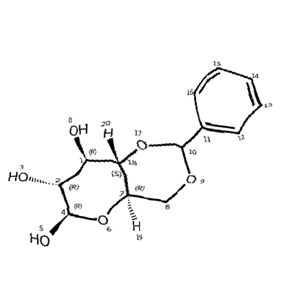 O[C@@H]1[C@@H](O)[C@H](O)O[C@@H]2COC(c3ccccc3)O[C@@H]12